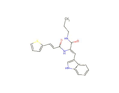 CCCNC(=O)/C(=C/c1c[nH]c2ccccc12)NC(=O)/C=C/c1cccs1